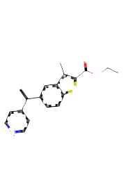 C=C(c1ccncc1)c1ccc2sc(C(=O)OCC)c(C)c2c1